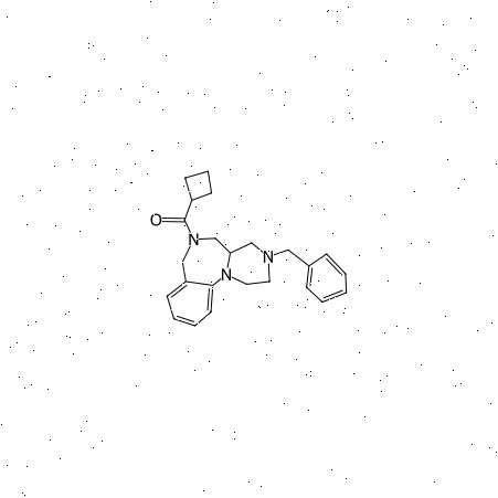 O=C(C1CCC1)N1Cc2ccccc2N2CCN(Cc3ccccc3)CC2C1